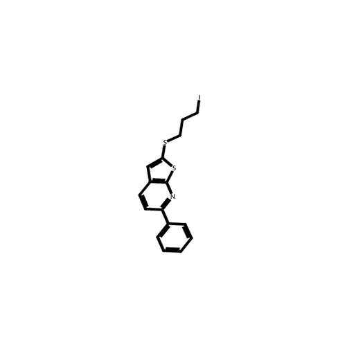 ICCCSc1cc2ccc(-c3ccccc3)nc2s1